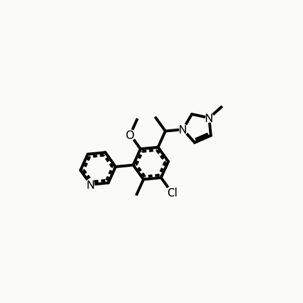 COc1c(C(C)N2C=CN(C)C2)cc(Cl)c(C)c1-c1cccnc1